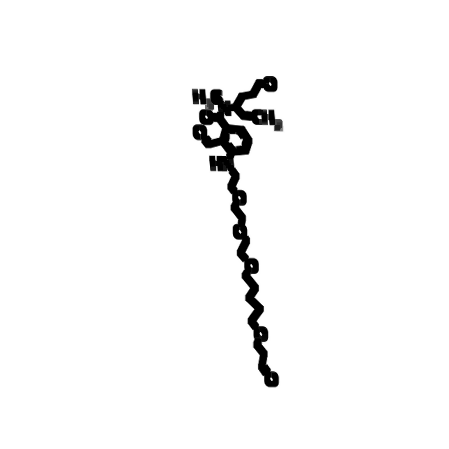 C=CC(CCC=O)N(C)C(=O)c1cccc(NCCOCCOCCOCCCCCOCCC=O)c1C=O